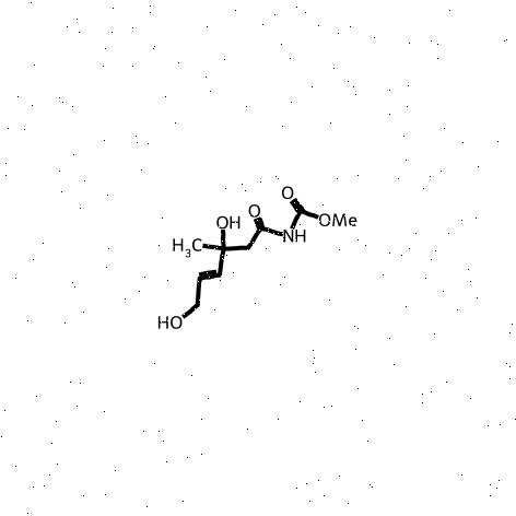 COC(=O)NC(=O)CC(C)(O)/C=C/CO